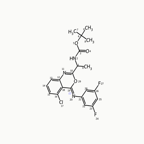 CC(NC(=O)OC(C)(C)C)c1nc2cccc(Cl)c2/c(=N/c2cc(F)cc(F)c2)o1